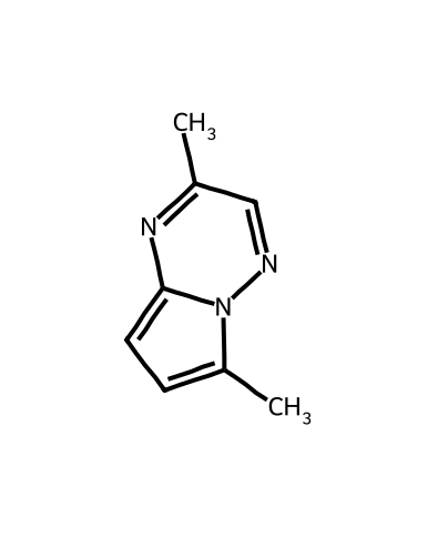 Cc1cnn2c(C)ccc2n1